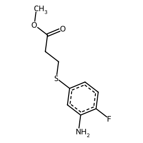 COC(=O)CCSc1ccc(F)c(N)c1